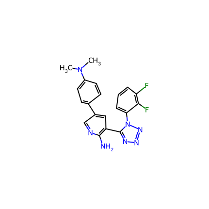 CN(C)c1ccc(-c2cnc(N)c(-c3nnnn3-c3cccc(F)c3F)c2)cc1